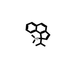 CC(C)[C]1([Hf]([CH3])[CH3])C=Cc2ccc3ccccc3c21